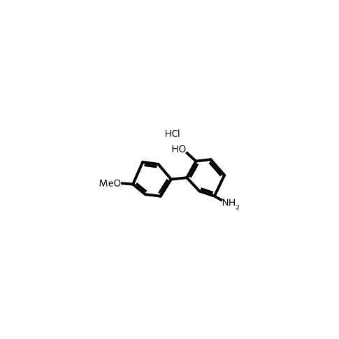 COc1ccc(-c2cc(N)ccc2O)cc1.Cl